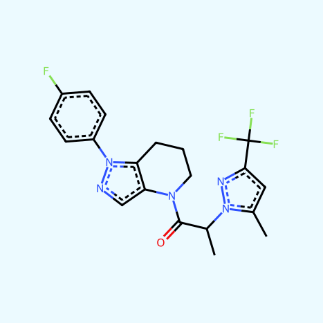 Cc1cc(C(F)(F)F)nn1C(C)C(=O)N1CCCc2c1cnn2-c1ccc(F)cc1